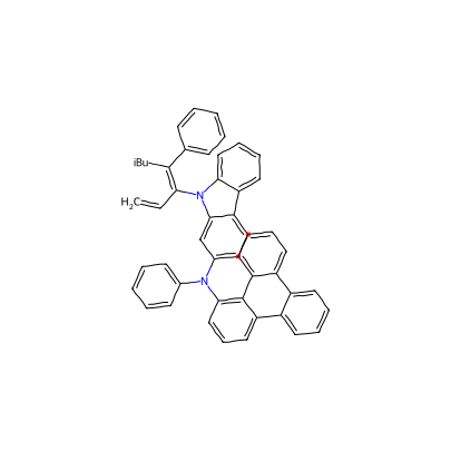 C=C/C(=C(/c1ccccc1)C(C)CC)n1c2ccccc2c2ccc(N(c3ccccc3)c3cccc4c5ccccc5c5ccccc5c34)cc21